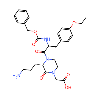 CCOc1ccc(C[C@H](NC(=O)OCc2ccccc2)C(=O)N2CCN(CC(=O)O)C(=O)[C@@H]2CCCN)cc1